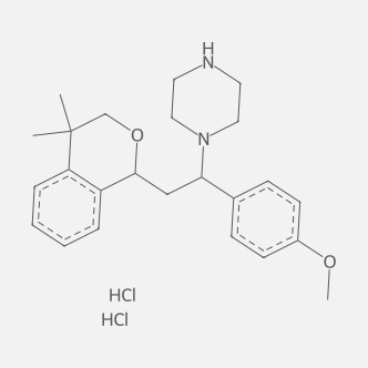 COc1ccc(C(CC2OCC(C)(C)c3ccccc32)N2CCNCC2)cc1.Cl.Cl